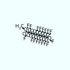 C=COC(=O)C(OCF)(OCF)C(OCF)(OCF)C(OCF)(OCF)C(OCF)(OCF)C(OCF)(OCF)C(OCF)(OCF)C(OCF)(OCF)C(OCF)(OCF)OCF